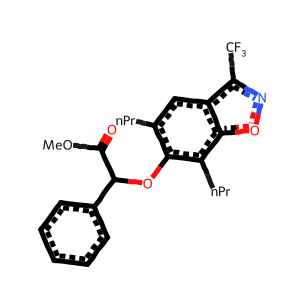 CCCc1cc2c(C(F)(F)F)noc2c(CCC)c1OC(C(=O)OC)c1ccccc1